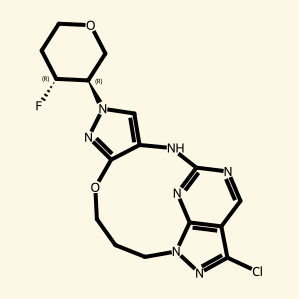 F[C@@H]1CCOC[C@H]1n1cc2c(n1)OCCCn1nc(Cl)c3cnc(nc31)N2